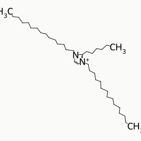 CCCCCCCCCCCCCCCn1cc[n+](CCCCCCCCCCCCCCC)c1CCCCCC